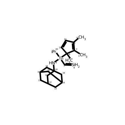 CC1=C(C)[C](C)([Ti]([CH]=[SiH2])([NH]C23CC4CC(CC(C4)C2)C3)[CH](C)C)C=C1